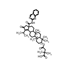 CC(C)C1=C2C3CCC4[C@@](C)(CCC5C(C)(C)[C@@H](OC(=O)CC(C)(C)C(=O)O)CC[C@@]54C)C3CCC2(C(=O)Nc2ncc3ccccc3n2)CC1=O